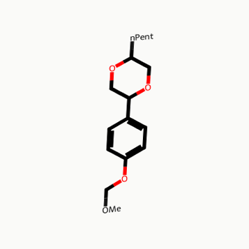 CCCCCC1COC(c2ccc(OCOC)cc2)CO1